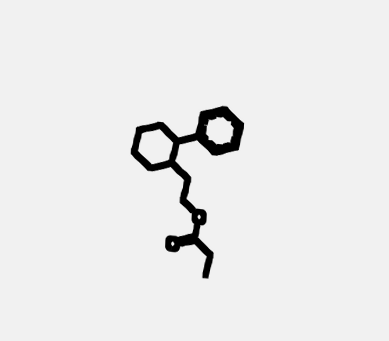 CCC(=O)OCCC1CCCCC1c1ccccc1